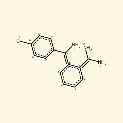 NC(N)=c1cccc/c1=C(/N)c1ccc(Cl)cc1